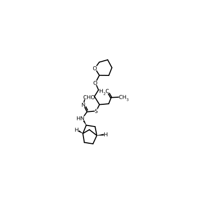 C=C(C)CC(CCOC1CCCCO1)S/C(=N\C=O)N[C@H]1C[C@@H]2CC[C@H]1C2